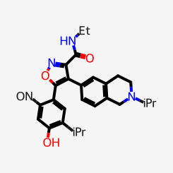 CCNC(=O)c1noc(-c2cc(C(C)C)c(O)cc2N=O)c1-c1ccc2c(c1)CCN(C(C)C)C2